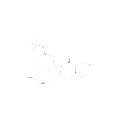 CCOC(=O)n1c(C(=O)c2cccnc2)c(NC(=O)CS(C)(=O)=O)c2cc(Cl)ccc21